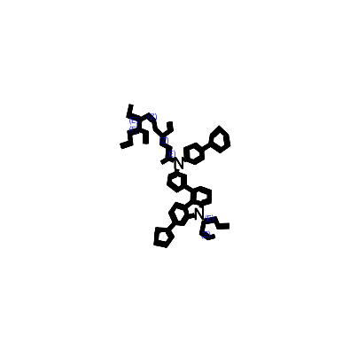 C=C/C=C(C=C)/C(/C=C\C/C(C=C)=C/C=C(\C)N(c1ccc(-c2ccccc2)cc1)c1cccc(-c2cccc3c2c2ccc(-c4ccccc4)cc2n3C(/C=C\C)=C/C=C)c1)=C/C